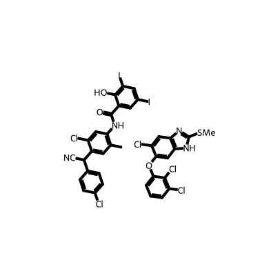 CSc1nc2cc(Cl)c(Oc3cccc(Cl)c3Cl)cc2[nH]1.Cc1cc(C(C#N)c2ccc(Cl)cc2)c(Cl)cc1NC(=O)c1cc(I)cc(I)c1O